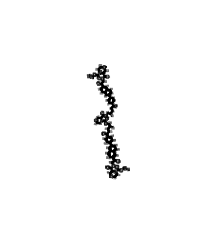 C[C@@H](CCC(=O)c1ccc(-c2ccc3cc(C(=O)COC(=O)[C@@H]4COCCN4C(=O)OC(C)(C)C)ccc3c2)cc1)COC(=O)C1COCCN1C(=O)OC[C@@H](C)CCC(=O)c1ccc(-c2ccc3cc(C(=O)COC(=O)[C@@H]4COCCN4C(=O)OC(C)(C)C)ccc3c2)cc1